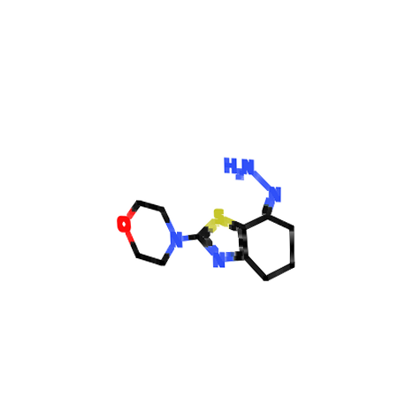 N/N=C1/CCCc2nc(N3CCOCC3)sc21